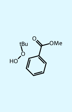 CC(C)(C)OO.COC(=O)c1ccccc1